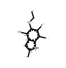 CCOc1c(F)c(F)c2[nH]c(C)cc2c1F